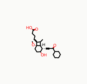 CO[C@@]12CC[C@H](O)[C@@H](C#CC(=O)C3CCCCC3)[C@@H]1C(C)C2=CCCC(=O)O